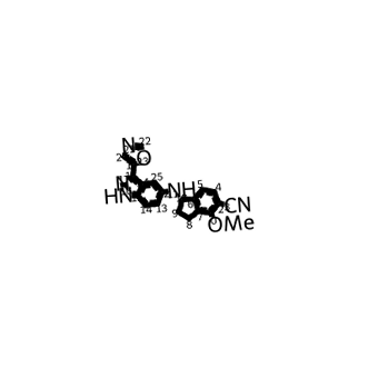 COc1c(C#N)ccc2c1CCC2Nc1ccc2[nH]nc(-c3cnco3)c2c1